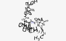 CCC#CCC1(C(O)/C=C/[C@H]2[C@H](C)OC(=O)N2CCSc2nc(C(=O)O)cs2)CCC1